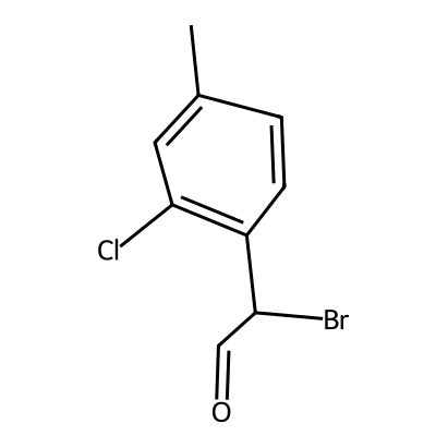 Cc1ccc(C(Br)C=O)c(Cl)c1